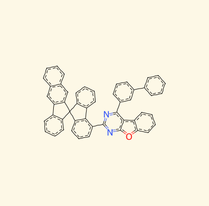 c1ccc(-c2cccc(-c3nc(-c4cccc5c4-c4ccccc4C54c5ccccc5-c5cc6ccccc6cc54)nc4oc5ccccc5c34)c2)cc1